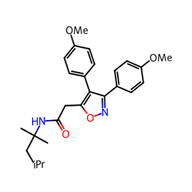 COc1ccc(-c2noc(CC(=O)NC(C)(C)CC(C)C)c2-c2ccc(OC)cc2)cc1